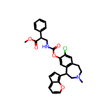 COC(=O)C(CNC(=O)Oc1cc2c(cc1Cl)CCN(C)CC2c1ccc2cccoc1-2)c1ccccc1